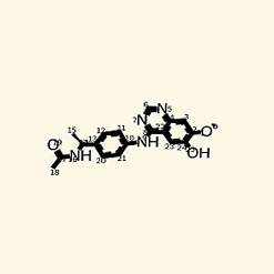 COc1cc2ncnc(Nc3ccc([C@H](C)NC(C)=O)cc3)c2cc1O